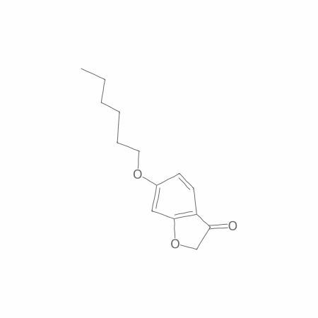 CCCCCCOc1ccc2c(c1)OCC2=O